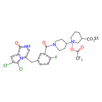 CCOC(=O)C1CCC[N+](OC(=O)C(F)(F)F)(C2CCN(C(=O)c3cc(Cc4c[nH]c(=O)c5cc(Cl)c(Cl)n45)ccc3F)CC2)C1